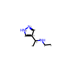 CCNC(C)c1cn[nH]c1